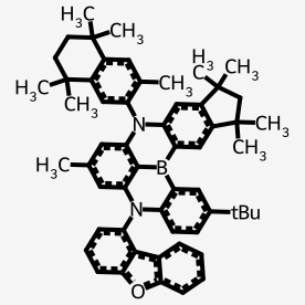 Cc1cc2c3c(c1)N(c1cccc4oc5ccccc5c14)c1ccc(C(C)(C)C)cc1B3c1cc3c(cc1N2c1cc2c(cc1C)C(C)(C)CCC2(C)C)C(C)(C)CC3(C)C